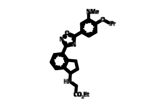 CCOC(=O)CNC1CCc2c(-c3noc(-c4ccc(OC(C)C)c(NC)c4)n3)cccc21